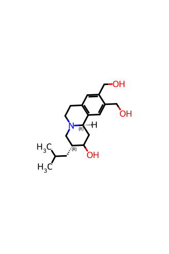 CC(C)C[C@@H]1CN2CCc3cc(CO)c(CO)cc3[C@H]2CC1O